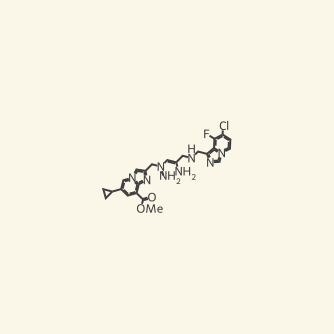 COC(=O)c1cc(C2CC2)cn2cc(CN(N)/C=C(\N)CNCc3ncn4ccc(Cl)c(F)c34)nc12